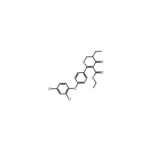 CCOC(=O)C1=C(c2ccc(Oc3ccc(Cl)cc3Cl)cc2)OCC(CC)C1=O